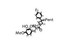 CCCCCC1(c2ccc(F)cc2)CN(C(=O)[C@@H](Cc2ccc(OC)cc2)NC(=O)O)C1